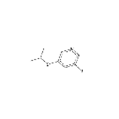 CC(C)Sc1cncc(I)c1